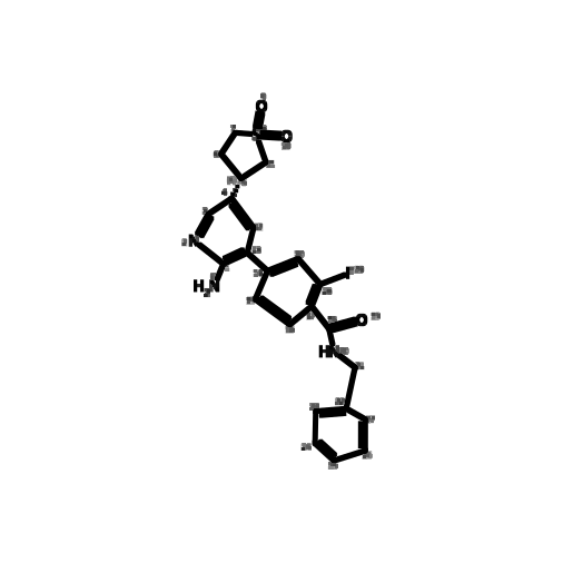 Nc1ncc([C@@H]2CCS(=O)(=O)C2)cc1-c1ccc(C(=O)NCc2ccccc2)c(F)c1